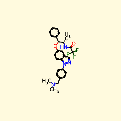 C[C@H](NC(=O)C(F)(F)F)[C@@H](Oc1ccc2c(cnn2-c2ccc(CN(C)C)cc2)c1)c1ccccc1